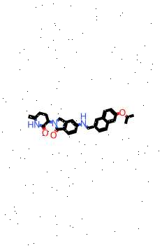 C=C1CCC(N2Cc3cc(NCc4ccc5cc(OC(C)C)ccc5c4)ccc3C2=O)C(=O)N1